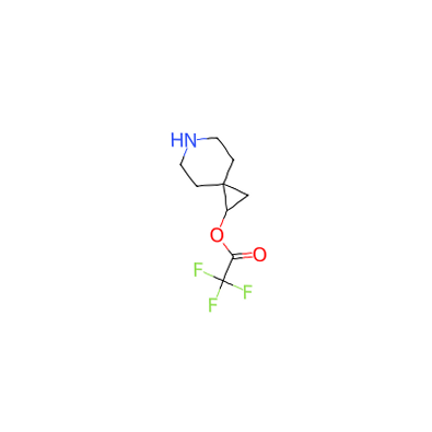 O=C(OC1CC12CCNCC2)C(F)(F)F